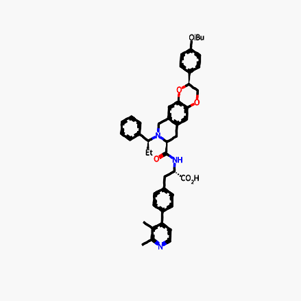 CC[C@@H](c1ccccc1)N1Cc2cc3c(cc2C[C@H]1C(=O)N[C@@H](Cc1ccc(-c2ccnc(C)c2C)cc1)C(=O)O)OC[C@H](c1ccc(OCC(C)C)cc1)O3